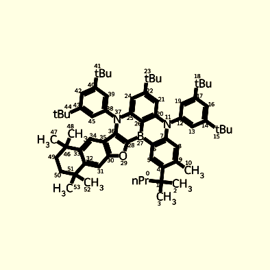 CCCC(C)(C)c1cc2c(cc1C)N(c1cc(C(C)(C)C)cc(C(C)(C)C)c1)c1cc(C(C)(C)C)cc3c1B2c1oc2cc4c(cc2c1N3c1cc(C(C)(C)C)cc(C(C)(C)C)c1)C(C)(C)CCC4(C)C